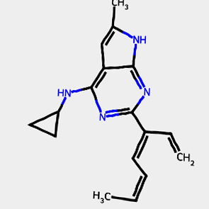 C=C/C(=C\C=C/C)c1nc(NC2CC2)c2cc(C)[nH]c2n1